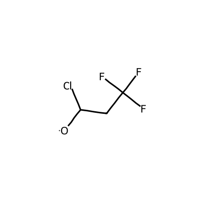 [O]C(Cl)CC(F)(F)F